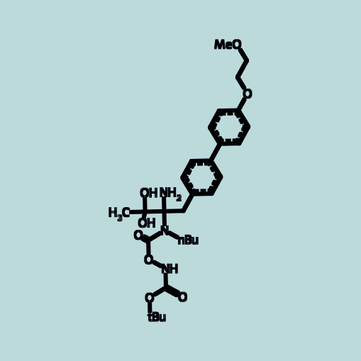 CCCCN(C(=O)ONC(=O)OC(C)(C)C)C(N)(Cc1ccc(-c2ccc(OCCOC)cc2)cc1)C(C)(O)O